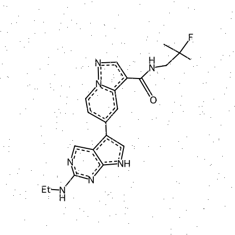 CCNc1ncc2c(-c3ccn4ncc(C(=O)NCC(C)(C)F)c4c3)c[nH]c2n1